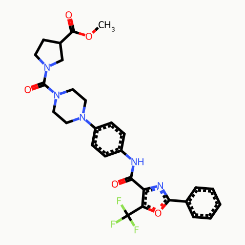 COC(=O)C1CCN(C(=O)N2CCN(c3ccc(NC(=O)c4nc(-c5ccccc5)oc4C(F)(F)F)cc3)CC2)C1